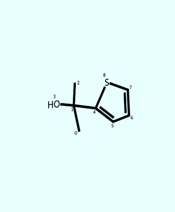 CC(C)(O)c1cccs1